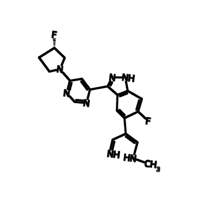 CN/C=C(\C=N)c1cc2c(-c3cc(N4CC[C@H](F)C4)ncn3)n[nH]c2cc1F